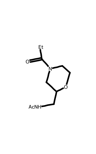 CCC(=O)N1CCOC(CNC(C)=O)C1